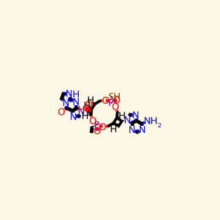 C=C[P@]1(=O)OC[C@H]2C[C@@H](n3cnc4c(N)ncnc43)[C@@H]2CO[P@](=O)(S)OC[C@H]2O[C@@H](n3cnc4c(=O)n5ccnc5[nH]c43)[C@H](O1)[C@@H]2O